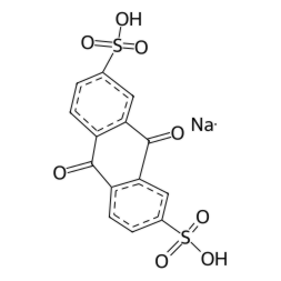 O=C1c2ccc(S(=O)(=O)O)cc2C(=O)c2cc(S(=O)(=O)O)ccc21.[Na]